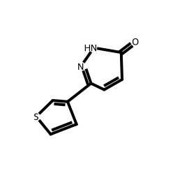 O=c1ccc(-c2ccsc2)n[nH]1